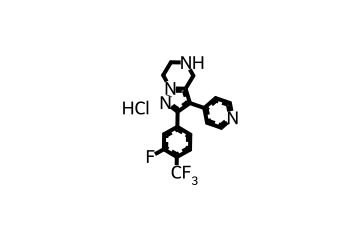 Cl.Fc1cc(-c2nn3c(c2-c2ccncc2)CNCC3)ccc1C(F)(F)F